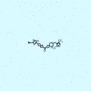 Cn1ncc(C(F)(F)F)c1CN1CCC2(CC1)CN(C(=O)N1CC3(CC(c4nc(C5CC5)n[nH]4)C3)C1)C2